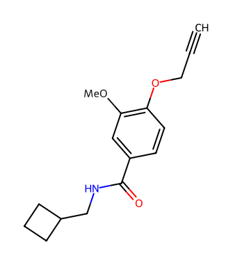 C#CCOc1ccc(C(=O)NCC2CCC2)cc1OC